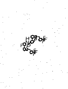 O=C(Nc1ccc(F)c(-c2cccc3cc(Cc4cccc(C(F)(F)F)c4)sc23)c1)c1ccc(F)c(-c2cccc3cc(Cc4cccc(C(F)(F)F)c4)sc23)c1